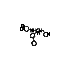 O=S1(=O)CCC(Nc2ccc(-c3ccccc3)cc2-c2ccn(Cc3cccnc3)n2)CC1